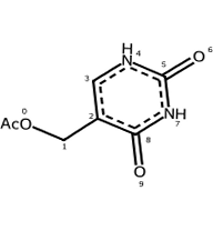 CC(=O)OCc1c[nH]c(=O)[nH]c1=O